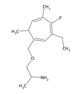 CCC1=C(F)C(C)=CC(C)C(COCC(C)N)=C1